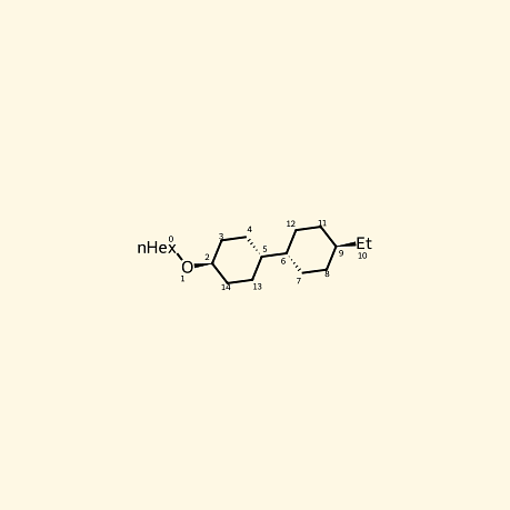 CCCCCCO[C@H]1CC[C@H]([C@H]2CC[C@H](CC)CC2)CC1